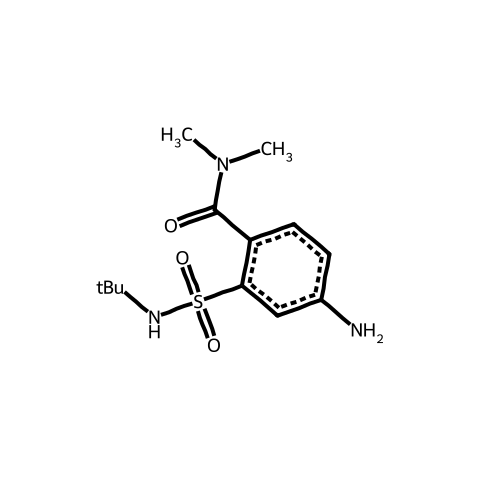 CN(C)C(=O)c1ccc(N)cc1S(=O)(=O)NC(C)(C)C